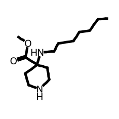 CCCCCCCNC1(C(=O)OC)CCNCC1